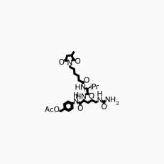 CC(=O)OCc1ccc(NC(=O)C(CCCNC(N)=O)NC(=O)[C@@H](NC(=O)CCCCCN2C(=O)CC(C)C2=O)C(C)C)cc1